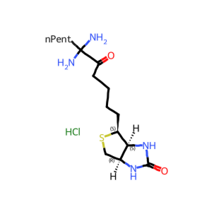 CCCCCC(N)(N)C(=O)CCCC[C@@H]1SC[C@@H]2NC(=O)N[C@@H]21.Cl